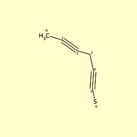 CC#CCC#C[S]